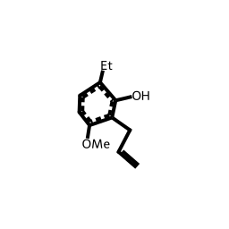 C=CCc1c(OC)ccc(CC)c1O